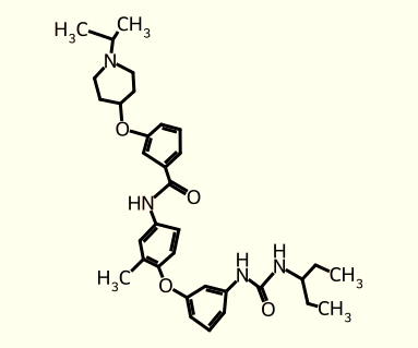 CCC(CC)NC(=O)Nc1cccc(Oc2ccc(NC(=O)c3cccc(OC4CCN(C(C)C)CC4)c3)cc2C)c1